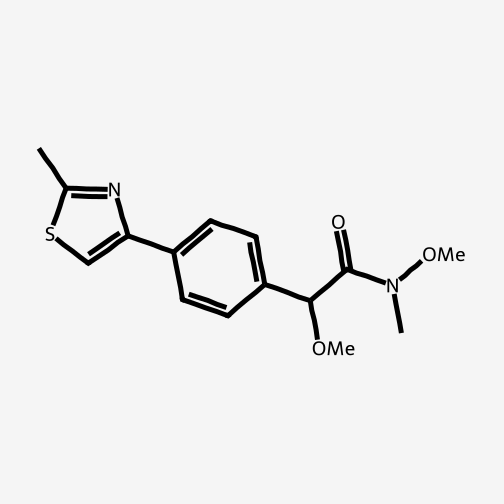 COC(C(=O)N(C)OC)c1ccc(-c2csc(C)n2)cc1